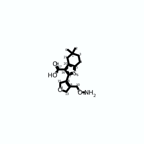 CC1(C)CCc2sc(C3=C(CON)COC3)c(C(=O)O)c2C1